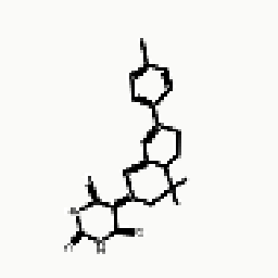 Cc1ccc(C2=CC3=CC(=C4C(=O)NC(=O)NC4=O)CC(C)(C)C3CC2)cc1